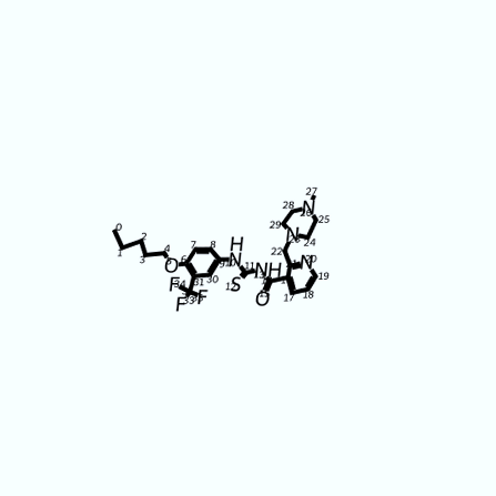 CCCCCOc1ccc(NC(=S)NC(=O)c2cccnc2CN2CCN(C)CC2)cc1C(F)(F)F